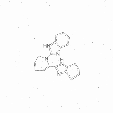 C1=CCN(c2nc3ccccc3[nH]2)C(c2nc3ccccc3[nH]2)=C1